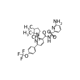 CC1CCN(c2nc(-c3ccc(OC(F)(F)F)cc3)ccc2C(=O)NS(=O)(=O)c2cccc(N)n2)C1(C)C